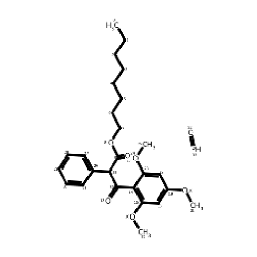 CCCCCCCCOC(=O)C(C(=O)c1c(OC)cc(OC)cc1OC)c1ccccc1.O=P